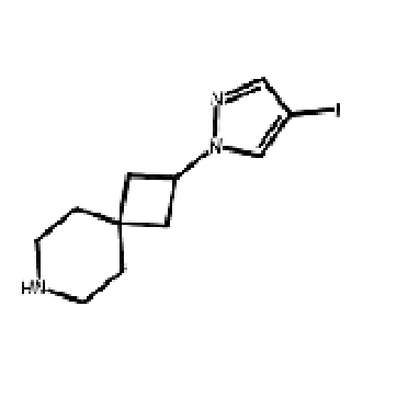 Ic1cnn(C2CC3(CCNCC3)C2)c1